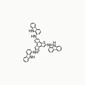 c1ccc2c(c1)[nH]c1c(Nc3cc4c(s3)c3cc(Nc5cccc6c5[nH]c5ccccc56)sc3c3cc(Nc5cccc6c5[nH]c5ccccc56)sc43)cccc12